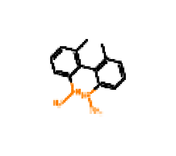 Cc1cccc(PP)c1-c1c(C)cccc1PP